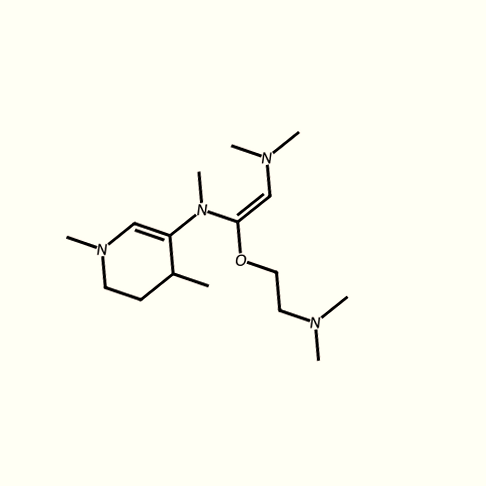 CC1CCN(C)C=C1N(C)/C(=C\N(C)C)OCCN(C)C